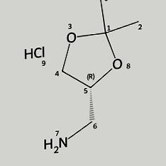 CC1(C)OC[C@@H](CN)O1.Cl